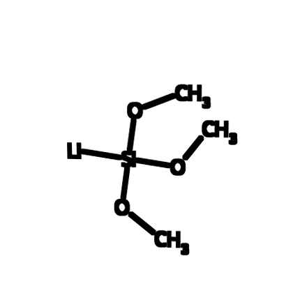 [Li][Si](OC)(OC)OC